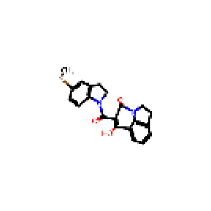 CSc1ccc2c(c1)CCN2C(=O)c1c(O)c2cccc3c2n(c1=O)CC3